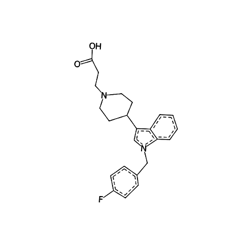 O=C(O)CCN1CCC(c2cn(Cc3ccc(F)cc3)c3ccccc23)CC1